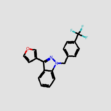 FC(F)(F)c1ccc(Cn2nc(-c3ccoc3)c3ccccc32)cc1